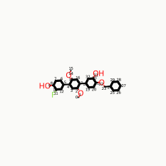 COc1cc(-c2ccc(O)c(F)c2)c(OC)cc1-c1ccc(OCc2ccccc2)c(O)c1